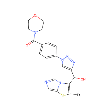 CCc1sc2cncn2c1C(O)c1cn(-c2ccc(C(=O)N3CCOCC3)cc2)nn1